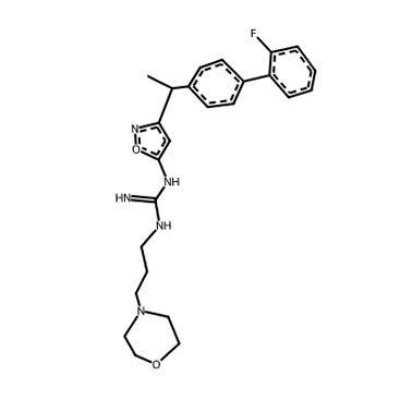 CC(c1ccc(-c2ccccc2F)cc1)c1cc(NC(=N)NCCCN2CCOCC2)on1